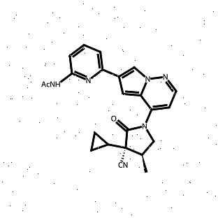 CC(=O)Nc1cccc(-c2cc3c(N4C[C@@H](C)[C@@](C#N)(C5CC5)C4=O)ccnn3c2)n1